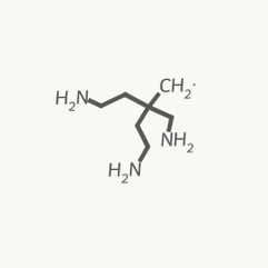 [CH2]C(CN)(CCN)CCN